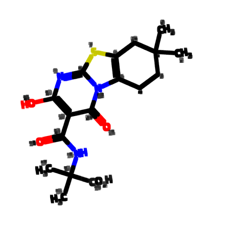 CC1(C)CCc2c(sc3nc(O)c(C(=O)NC(C)(C)C(=O)O)c(=O)n23)C1